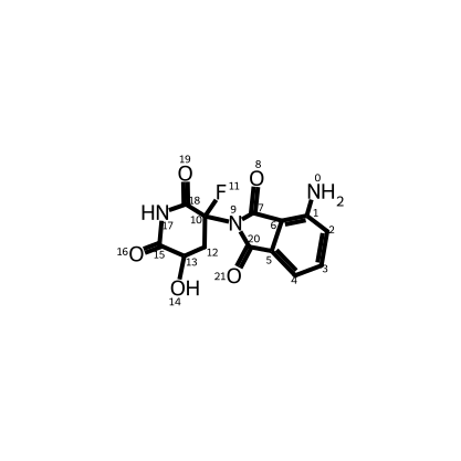 Nc1cccc2c1C(=O)N(C1(F)CC(O)C(=O)NC1=O)C2=O